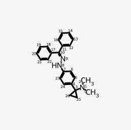 CN(C)C1(c2ccc(NN=C(c3ccccc3)c3ccccc3)cc2)CC1